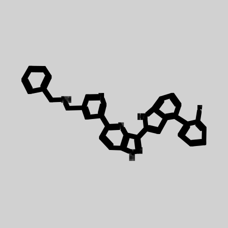 Fc1ccccc1-c1cccc2[nH]c(-c3n[nH]c4ccc(-c5cncc(CNCc6ccccc6)c5)nc34)cc12